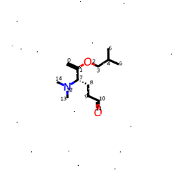 C=C(OCC(C)C)[C@H](CCC=O)N(C)C